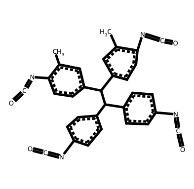 Cc1cc(C(c2ccc(N=C=O)c(C)c2)C(c2ccc(N=C=O)cc2)c2ccc(N=C=O)cc2)ccc1N=C=O